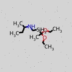 CCOC(C)(OCC)[SiH2]CNC(C)CC